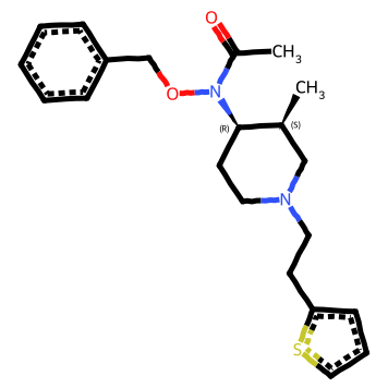 CC(=O)N(OCc1ccccc1)[C@@H]1CCN(CCc2cccs2)C[C@@H]1C